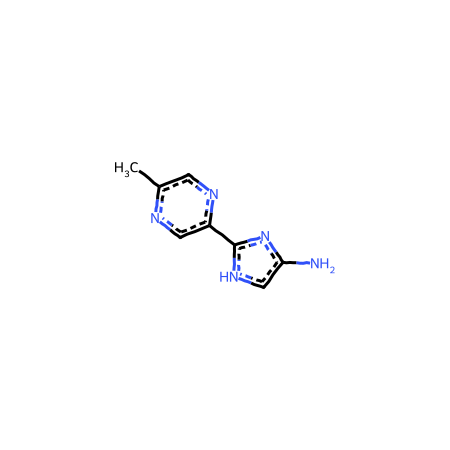 Cc1cnc(-c2nc(N)c[nH]2)cn1